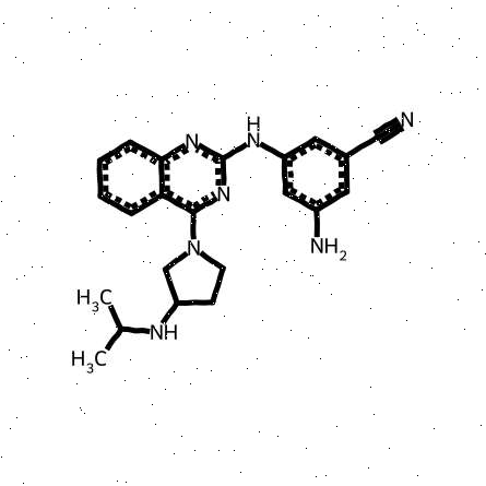 CC(C)NC1CCN(c2nc(Nc3cc(N)cc(C#N)c3)nc3ccccc23)C1